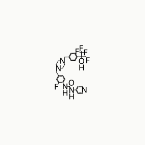 O=C(Nc1ccncc1)Nc1ccc(CN2CCN(Cc3ccc(C(O)(CF)C(F)(F)F)cc3)CC2)cc1F